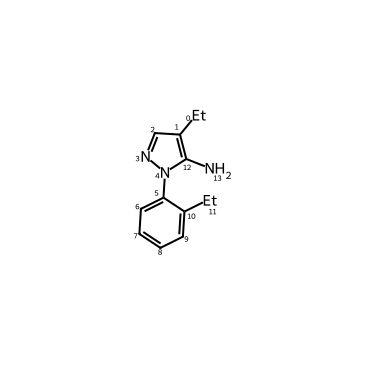 [CH2]Cc1cnn(-c2ccccc2CC)c1N